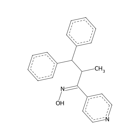 CC(C(=NO)c1ccncc1)C(c1ccccc1)c1ccccc1